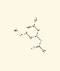 O=C(O)CC(CC(=O)O)OCCO